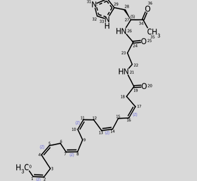 C/C=C\C/C=C\C/C=C\C/C=C\C/C=C\C/C=C\CC(=O)NCCC(=O)N[C@@H](Cc1cnc[nH]1)C(C)=O